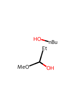 CCC(O)OC.CCCCO